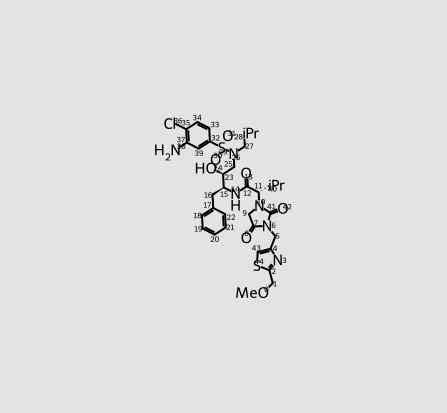 COCc1nc(CN2C(=O)CN([C@H](C(=O)N[C@@H](Cc3ccccc3)[C@@H](O)CN(CC(C)C)S(=O)(=O)c3ccc(Cl)c(N)c3)C(C)C)C2=O)cs1